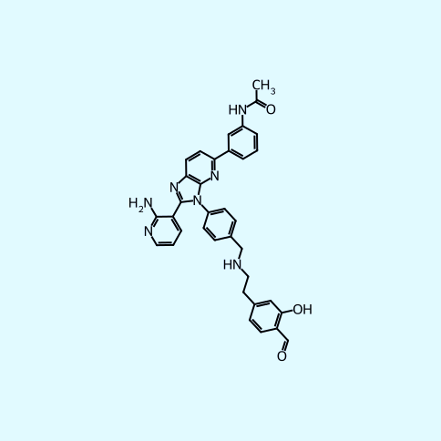 CC(=O)Nc1cccc(-c2ccc3nc(-c4cccnc4N)n(-c4ccc(CNCCc5ccc(C=O)c(O)c5)cc4)c3n2)c1